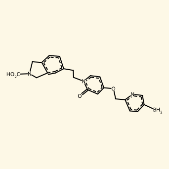 Bc1ccc(COc2ccn(CCc3ccc4c(c3)CN(C(=O)O)C4)c(=O)c2)nc1